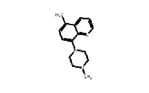 Cc1ccc(N2CCN(C)CC2)c2ncccc12